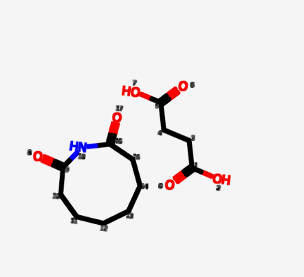 O=C(O)CCC(=O)O.O=C1CCCCCCC(=O)N1